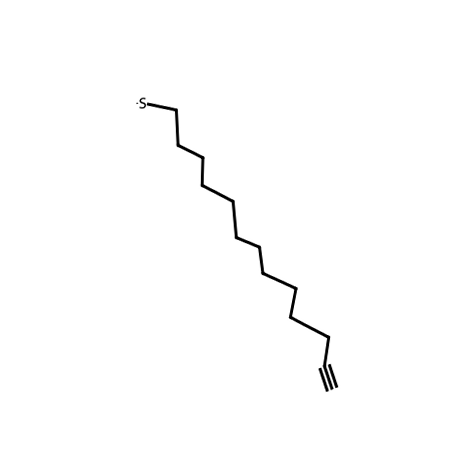 C#CCCCCCCCCCCC[S]